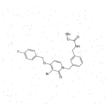 CC(C)(C)OC(=O)NCc1cccc(Cn2ccc(OCc3ccc(F)cc3)c(Br)c2=O)c1